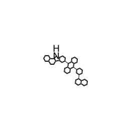 c1cc(-c2cccc3ccccc23)cc(-c2c3ccccc3c(-c3ccc4[nH]c5c6ccccc6ccc5c4c3)c3ccccc23)c1